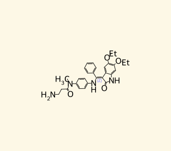 CCOc1cc2c(cc1OCC)/C(=C(/Nc1ccc(N(C)C(=O)CCN)cc1)c1ccccc1)C(=O)N2